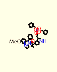 COc1ccc(C(NC(=O)C2(c3ccc4[nH]cc(CCOP(=O)(OCc5ccccc5)OCc5ccccc5)c4c3)CC2)c2ccccc2)c(N2CCCC2)c1